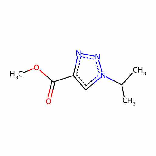 COC(=O)c1cn(C(C)C)nn1